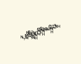 N#CCn1cc(-c2cnc3c(Nc4ccc(C(=O)NCCNCC(=O)N[C@H]5CCNC5)c(Cl)c4)nccn23)c(C(F)(F)F)n1